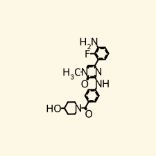 Cn1cc(-c2cccc(N)c2F)nc(Nc2ccc(C(=O)N3CCC(O)CC3)cc2)c1=O